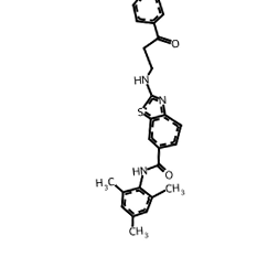 Cc1cc(C)c(NC(=O)c2ccc3nc(NCCC(=O)c4ccccc4)sc3c2)c(C)c1